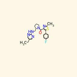 CCc1cnc(NCC2CCCN2C(=O)c2nc(C)sc2-c2ccc(F)cc2)nc1